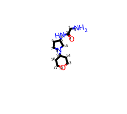 NCC(=O)NC1CCN(C2CCOCC2)C1